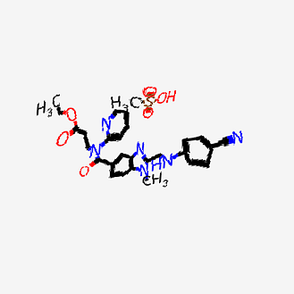 CCOC(=O)CCN(C(=O)c1ccc2c(c1)nc(CNc1ccc(C#N)cc1)n2C)c1ccccn1.CS(=O)(=O)O